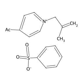 C=C(C)C[n+]1ccc(C(C)=O)cc1.O=S(=O)([O-])c1ccccc1